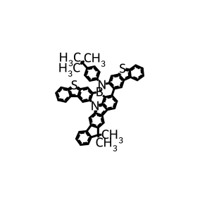 CC(C)(C)c1ccc(N2B3c4cc5sc6ccccc6c5cc4-n4c5cc6c(cc5c5ccc(c3c54)-c3cc4c(cc32)sc2ccccc24)C(C)(C)c2ccccc2-6)cc1